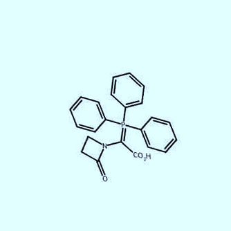 O=C(O)C(N1CCC1=O)=P(c1ccccc1)(c1ccccc1)c1ccccc1